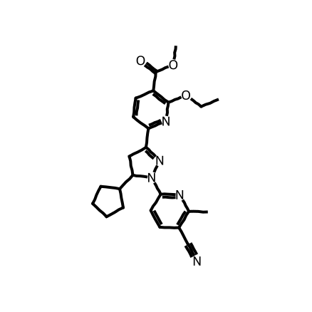 CCOc1nc(C2=NN(c3ccc(C#N)c(C)n3)C(C3CCCC3)C2)ccc1C(=O)OC